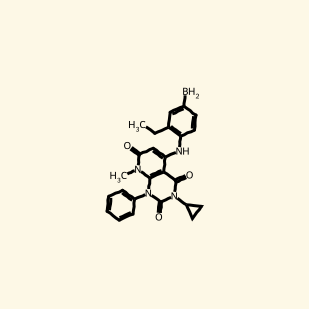 Bc1ccc(Nc2cc(=O)n(C)c3c2c(=O)n(C2CC2)c(=O)n3-c2ccccc2)c(CC)c1